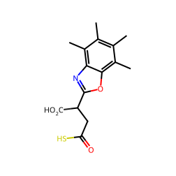 Cc1c(C)c(C)c2oc(C(CC(=O)S)C(=O)O)nc2c1C